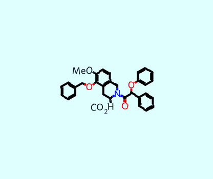 COc1ccc2c(c1OCc1ccccc1)CC(C(=O)O)N(C(=O)C(Oc1ccccc1)c1ccccc1)C2